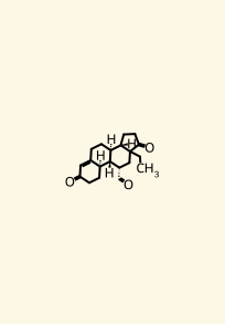 CCC12C[C@H](C=O)[C@H]3[C@@H](CCC4=CC(=O)CC[C@@H]43)[C@@H]1CCC2=O